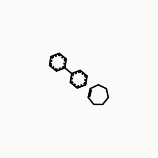 C1=CCCCCC1.c1ccc(-c2ccccc2)cc1